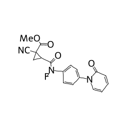 COC(=O)C1(C#N)CC1C(=O)N(F)c1ccc(-n2ccccc2=O)cc1